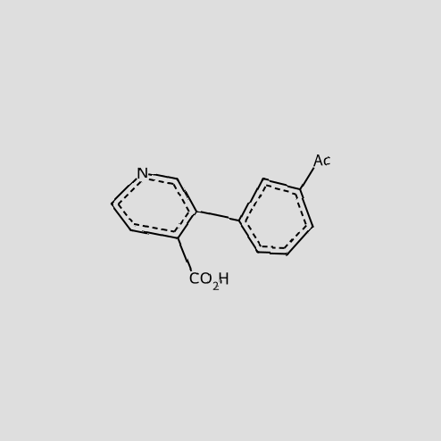 CC(=O)c1cccc(-c2cnccc2C(=O)O)c1